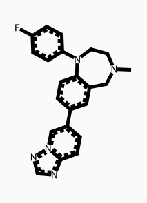 CN1CCN(c2ccc(F)cc2)c2ccc(-c3ccc4ncnn4c3)cc2C1